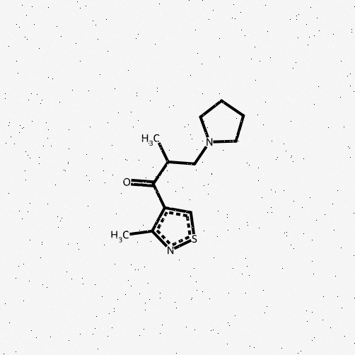 Cc1nscc1C(=O)C(C)CN1CCCC1